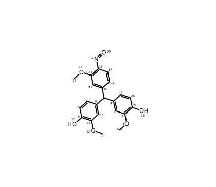 COc1cc(C(c2ccc(O)c(OC)c2)c2ccc(N=O)c(OC)c2)ccc1O